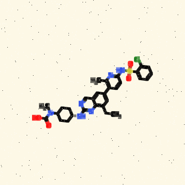 CCc1cc(-c2ccc(NS(=O)(=O)c3ccccc3Cl)nc2C)cc2cnc(N[C@H]3CC[C@H](N(C)C(=O)O)CC3)nc12